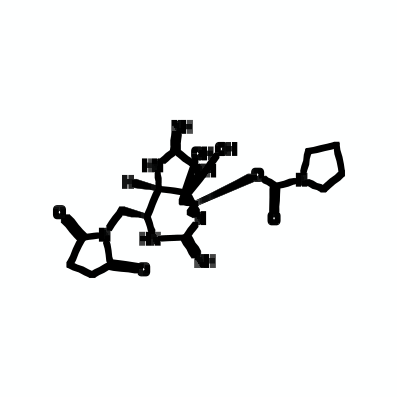 N=C1N[C@H]2[C@H](CN3C(=O)CCC3=O)NC(=N)N3C[C@H](OC(=O)N4CCCC4)C(O)(O)[C@]23N1